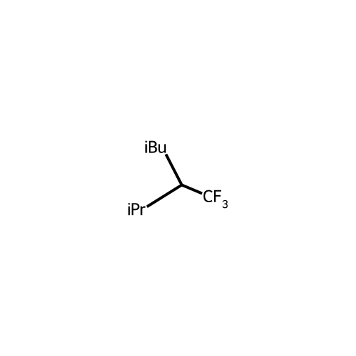 CCC(C)C(C(C)C)C(F)(F)F